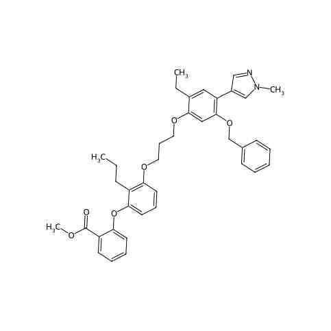 CCCc1c(OCCCOc2cc(OCc3ccccc3)c(-c3cnn(C)c3)cc2CC)cccc1Oc1ccccc1C(=O)OC